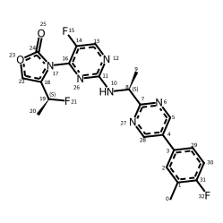 Cc1cc(-c2cnc([C@H](C)Nc3ncc(F)c(-n4c([C@H](C)F)coc4=O)n3)nc2)ccc1F